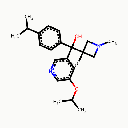 CC(C)Oc1cncc(C(O)(c2ccc(C(C)C)cc2)C2(C)CN(C)C2)c1